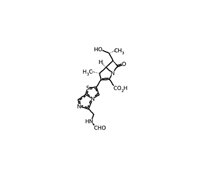 C[C@@H](O)[C@H]1C(=O)N2C(C(=O)O)=C(c3cn4c(CNC=O)ncc4s3)[C@H](C)[C@@H]12